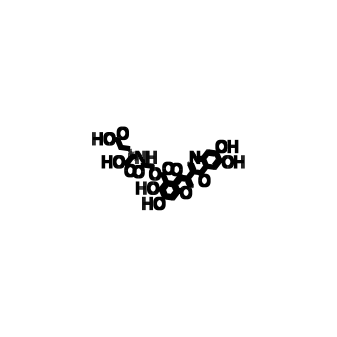 O=C(O)CC[C@H](NC(=O)COC(=O)c1c(O)c(O)cc2occ(C3=CN=C4C=C(O)C(O)=CC4C3=O)c(=O)c12)C(=O)O